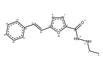 CCNNC(=O)c1nnc(C=Cc2ccccc2)o1